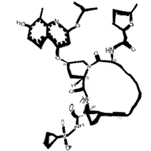 CC1=CCC(C(=O)N[C@H]2CCCCC/C=C\C3C[C@@]3(C(=O)NS(=O)(=O)C3CC3)NC(=O)[C@@H]3C[C@@H](Oc4cc(OC(C)C)nc5c(C)c(O)ccc45)CN3C2=O)S1